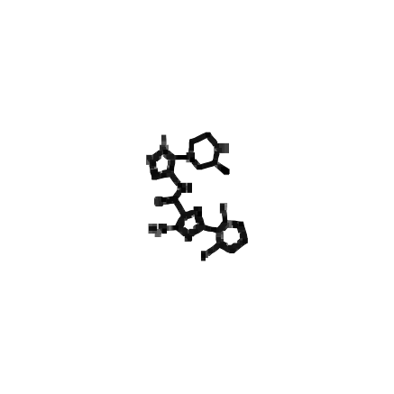 C[C@H]1CN(c2c(NC(=O)c3nc(-c4c(F)cccc4F)sc3N)cnn2C)CCN1